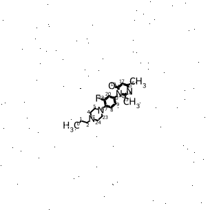 CCCN1CCN(c2ccc(-n3c(C)nc(C)cc3=O)cc2F)CC1